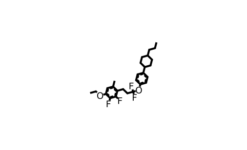 CCCC1CCC(c2ccc(OC(F)(F)CCc3c(C)cc(OCC)c(F)c3F)cc2)CC1